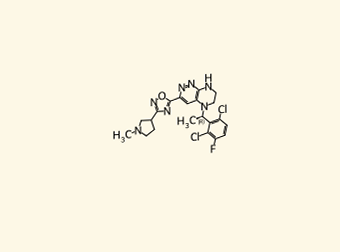 C[C@H](c1c(Cl)ccc(F)c1Cl)N1CCNc2nnc(-c3nc(C4CCN(C)C4)no3)cc21